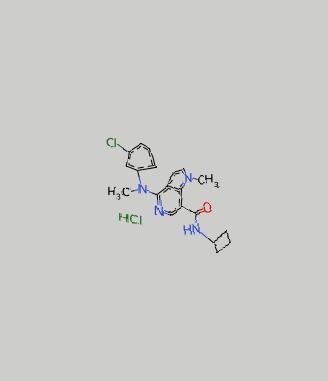 CN(c1cccc(Cl)c1)c1ncc(C(=O)NC2CCC2)c2c1ccn2C.Cl